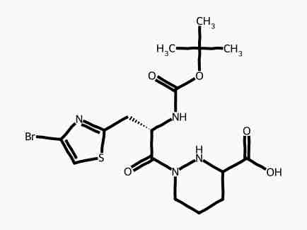 CC(C)(C)OC(=O)N[C@@H](Cc1nc(Br)cs1)C(=O)N1CCCC(C(=O)O)N1